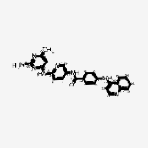 Cc1cc(Nc2ccc(NC(=O)c3ccc(Nc4ccnc5ccccc45)cc3)cn2)nc(N)n1